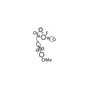 COc1ccc(S(=O)(=O)N2CC3C(CN(C(=O)c4cccs4)c4ccc(N5CCOCC5)c(F)c4)C3C2)cc1